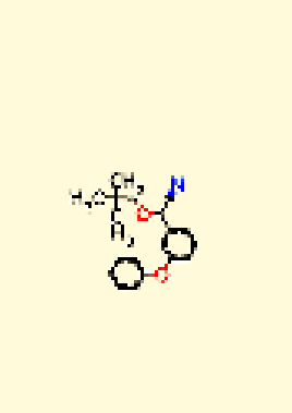 CC(C)(C)COC(C#N)c1cccc(Oc2ccccc2)c1